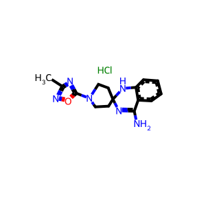 Cc1noc(N2CCC3(CC2)N=C(N)c2ccccc2N3)n1.Cl